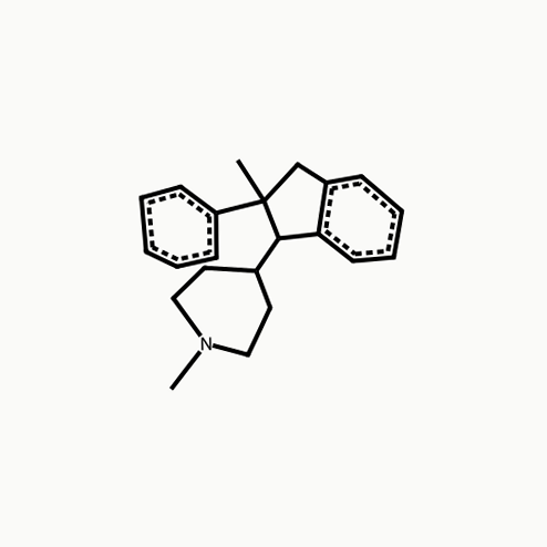 CN1CCC(C2c3ccccc3CC2(C)c2ccccc2)CC1